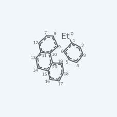 CCc1ccccc1.c1ccc2c(c1)ccc1ccccc12